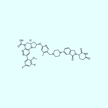 COc1c(F)cc(F)cc1-c1cc2c(nn1)N(C(=O)O)C[C@H]1C[C@@H](Oc3cc(C)c(CN4CCN(c5ccc6c(c5)C(=O)N(C5CCC(=O)NC5=O)C6)CC4)cn3)CN21